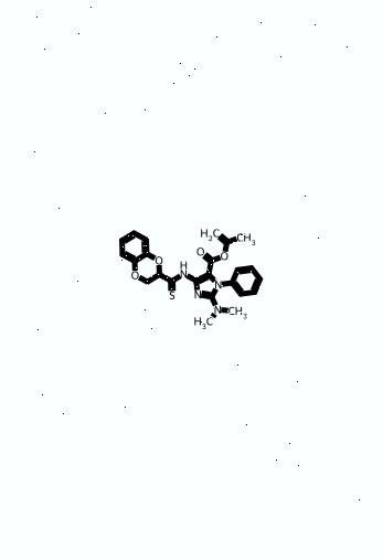 C=C(C)OC(=O)c1c(NC(=S)C2COc3ccccc3O2)nc(N(C)C)n1-c1ccccc1